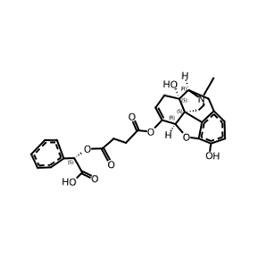 CN1CC[C@]23c4c5ccc(O)c4O[C@H]2C(OC(=O)CCC(=O)O[C@H](C(=O)O)c2ccccc2)=CC[C@@]3(O)[C@H]1C5